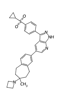 CC1(N2CCC2)CCc2ccc(-c3cnc4[nH]nc(-c5ccc(S(=O)(=O)C6CC6)cc5)c4c3)cc2CC1